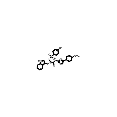 COc1ccc(-c2csc(NC(=O)[C@H](Cc3c[nH]c4ccccc34)NS(=O)(=O)c3ccc(Br)cc3)n2)cc1